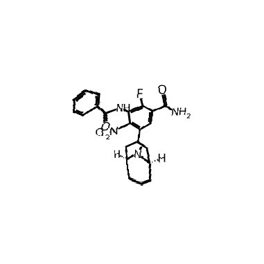 CN1[C@@H]2CCC[C@H]1CC(c1cc(C(N)=O)c(F)c(NC(=O)c3ccccc3)c1[N+](=O)[O-])C2